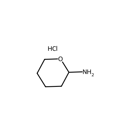 Cl.NC1CCCCO1